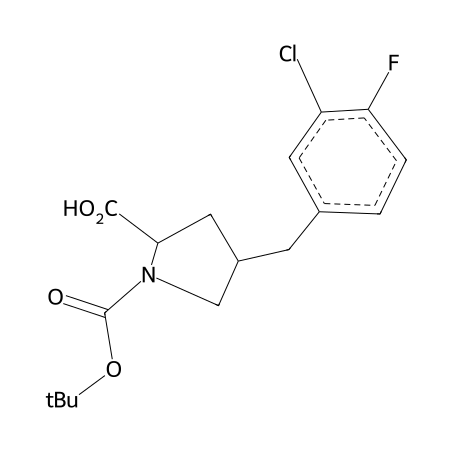 CC(C)(C)OC(=O)N1CC(Cc2ccc(F)c(Cl)c2)CC1C(=O)O